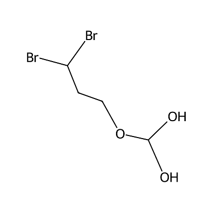 OC(O)OCCC(Br)Br